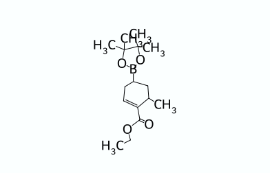 CCOC(=O)C1=CCC(B2OC(C)(C)C(C)(C)O2)CC1C